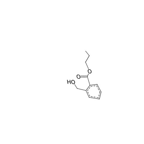 CCCOC(=O)c1ccccc1CO